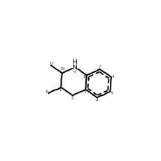 CC1Cc2ccccc2NC1C